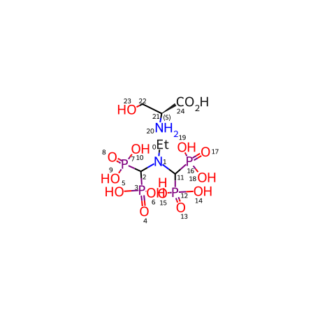 CCN(C(P(=O)(O)O)P(=O)(O)O)C(P(=O)(O)O)P(=O)(O)O.N[C@@H](CO)C(=O)O